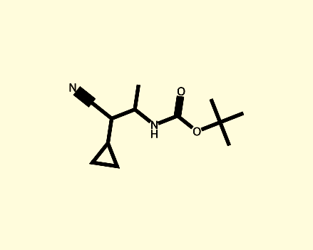 CC(NC(=O)OC(C)(C)C)C(C#N)C1CC1